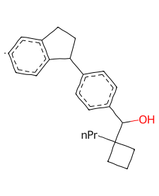 CCCC1(C(O)c2ccc(C3CCc4c[c]ccc43)cc2)CCC1